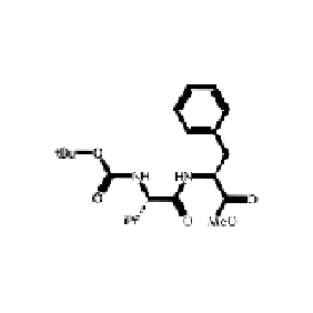 COC(=O)[C@H](Cc1ccccc1)NC(=O)[C@@H](NC(=O)OC(C)(C)C)C(C)C